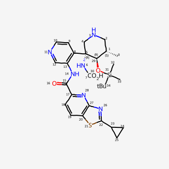 C[C@H]1CNC[C@](NC(=O)O)(c2ccncc2NC(=O)c2ccc3sc(C4CC4)nc3n2)[C@@H]1O[Si](C)(C)C(C)(C)C